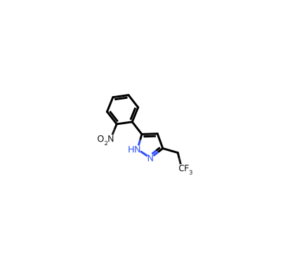 O=[N+]([O-])c1ccccc1-c1cc(CC(F)(F)F)n[nH]1